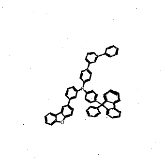 c1ccc(-c2cccc(-c3ccc(N(c4ccc(C5(c6ccccc6)c6ccccc6-c6ccccc65)cc4)c4cccc(-c5ccc6oc7ccccc7c6c5)c4)cc3)c2)cc1